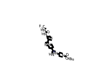 CC(C)(C)OC(=O)N1CCC(N/C=C(\C=N)c2ccn3c(-c4cncc(NC(=O)NCC(F)(F)F)c4)cnc3c2)CC1